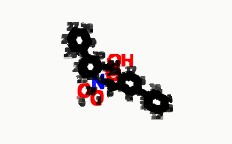 COC(=O)N(c1cc2cc(-c3ccccc3)ccc2o1)c1ccc(-c2ccccc2)cc1C(=O)O